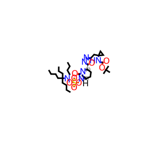 CCCCN(OS(=O)(=O)ON1C(=O)N2C[C@@H]1CC[C@H]2c1nnc(CC2(NC(=O)OC(C)(C)C)CC2)o1)C(CCC)(CCCC)CCCC